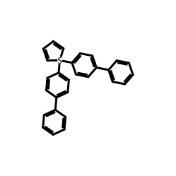 C1=CS(c2ccc(-c3ccccc3)cc2)(c2ccc(-c3ccccc3)cc2)C=C1